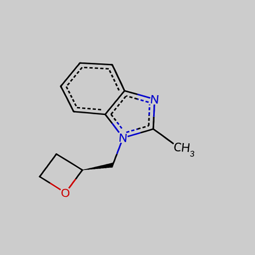 Cc1nc2ccccc2n1C[C@@H]1CCO1